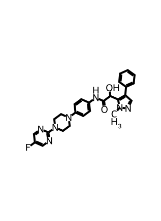 Cn1ncc(-c2ccccc2)c1C(O)C(=O)Nc1ccc(N2CCN(c3ncc(F)cn3)CC2)cc1